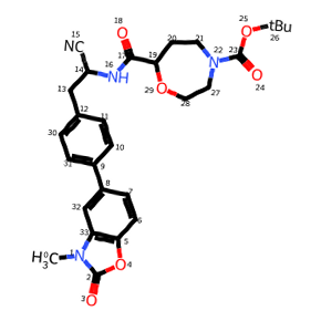 Cn1c(=O)oc2ccc(-c3ccc(CC(C#N)NC(=O)C4CCN(C(=O)OC(C)(C)C)CCO4)cc3)cc21